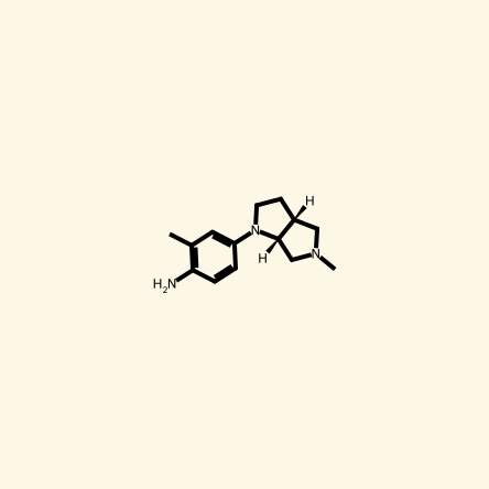 Cc1cc(N2CC[C@@H]3CN(C)C[C@@H]32)ccc1N